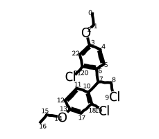 CCOc1ccc(C(CCl)c2ccc(OCC)cc2Cl)c(Cl)c1